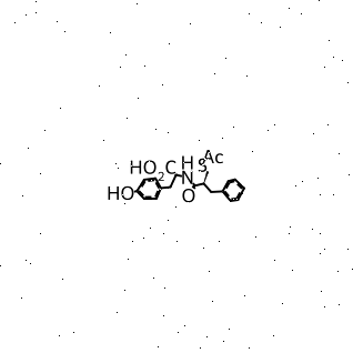 CC(=O)SC[C@@H](Cc1ccccc1)C(=O)N[C@@H](Cc1ccc(O)cc1)C(=O)O